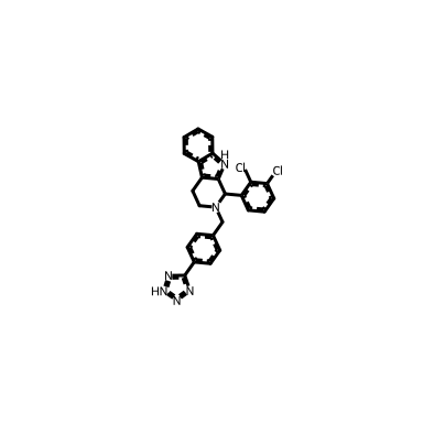 Clc1cccc(C2c3[nH]c4ccccc4c3CCN2Cc2ccc(-c3nn[nH]n3)cc2)c1Cl